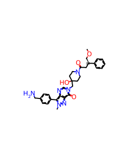 COC[C@H](CC(=O)N1CCC(O)(Cn2cnc3c(-c4ccc(CN)cc4)n(C)nc3c2=O)CC1)c1ccccc1